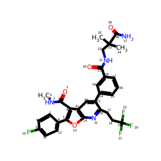 CNC(=O)c1c(-c2ccc(F)cc2)oc2nc(CCC(F)(F)F)c(-c3cccc(C(=O)NCC(C)(C)C(N)=O)c3)cc12